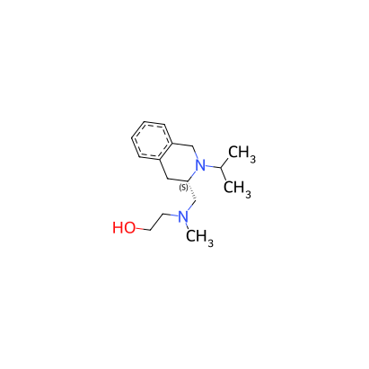 CC(C)N1Cc2ccccc2C[C@H]1CN(C)CCO